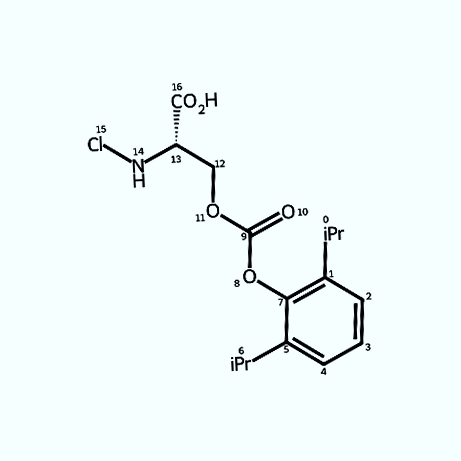 CC(C)c1cccc(C(C)C)c1OC(=O)OC[C@H](NCl)C(=O)O